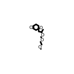 COCCOCOC1COC2(CCC3OC3C2)C1